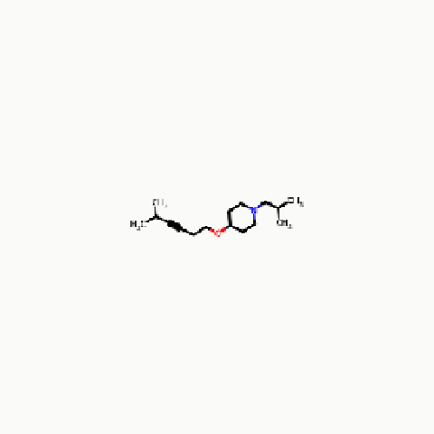 CC(C)C#CCCOC1CCN(CC(C)C)CC1